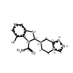 NC(=O)N1c2c([c]ncc2F)SC1N1CCn2cnnc2C1